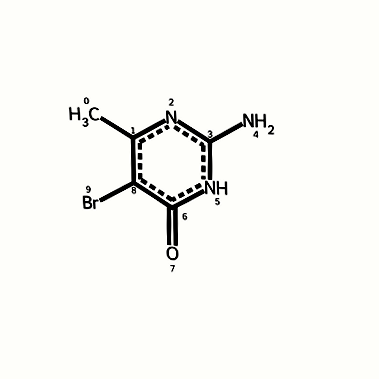 Cc1nc(N)[nH]c(=O)c1Br